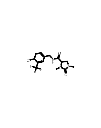 CN1CC(C(=O)NCC2=CCC(Cl)C(C(F)(F)F)=C2)N(C)C1=O